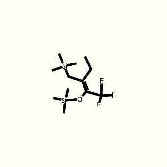 CC/C(C[Si](C)(C)C)=C(/O[Si](C)(C)C)C(F)(F)F